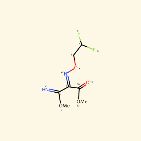 COC(=N)/C(=N/OCC(F)F)C(=O)OC